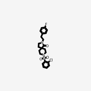 O=C1N(CCc2ccc(F)cc2)CCC12CCN(S(=O)(=O)c1ccccc1Cl)CC2